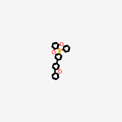 S=P12c3ccccc3Oc3cccc(c31)Oc1cc(-c3ccc4c(c3)oc3ccccc34)ccc12